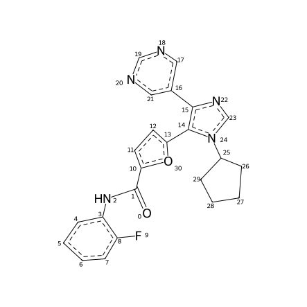 O=C(Nc1ccccc1F)c1ccc(-c2c(-c3cncnc3)ncn2C2CCCC2)o1